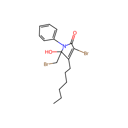 CCCCCCC1=C(Br)C(=O)N(c2ccccc2)C1(O)CBr